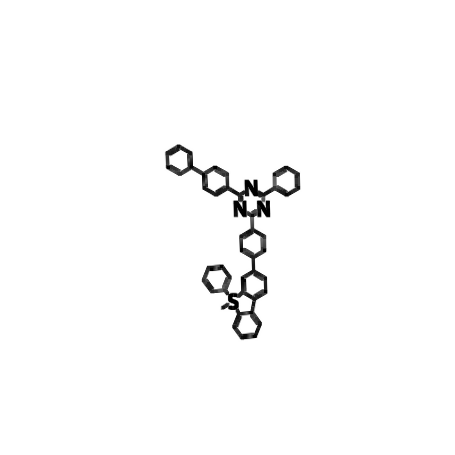 CS1(c2ccccc2)c2ccccc2-c2ccc(-c3ccc(-c4nc(-c5ccccc5)nc(-c5ccc(-c6ccccc6)cc5)n4)cc3)cc21